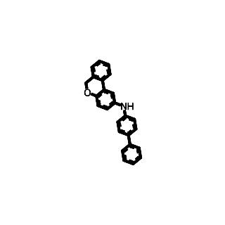 c1ccc(-c2ccc(Nc3ccc4c(c3)-c3ccccc3CO4)cc2)cc1